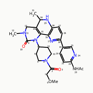 COCC(=O)N1CCC(N2C(=O)N(C)CC3=C2c2nc(-c4ccc(NC(C)=O)nc4)ccc2NC3C)CC1